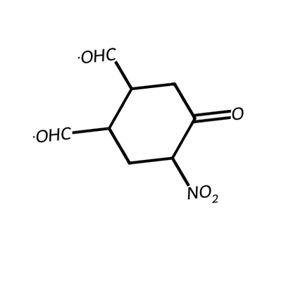 O=[C]C1CC(=O)C([N+](=O)[O-])CC1[C]=O